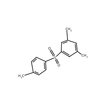 Cc1ccc(S(=O)(=O)c2cc(C)cc(C)c2)cc1